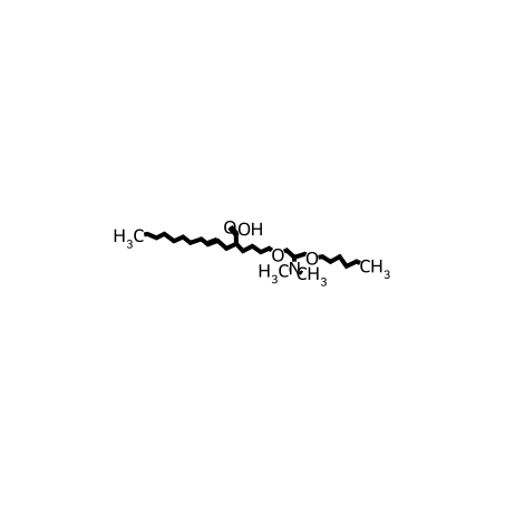 CCCCCCCCC=CCC(CCCCOCC(COCCCCCC)N(C)C)C(=O)O